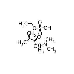 C=C(C)C(=O)O.CCOS(=O)(=O)O.CN(C)C